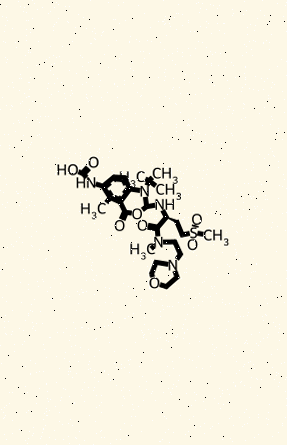 Cc1c(NC(=O)O)ccc2c1C(=O)OC(N[C@@H](CCS(C)(=O)=O)C(=O)N(C)CCN1CCOCC1)N2C(C)(C)C